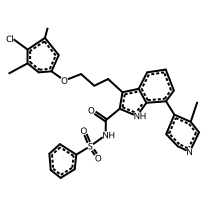 Cc1cnccc1-c1cccc2c(CCCOc3cc(C)c(Cl)c(C)c3)c(C(=O)NS(=O)(=O)c3ccccc3)[nH]c12